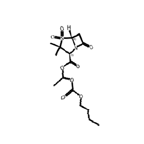 CCCCOC(=O)OC(C)OC(=O)[C@@H]1N2C(=O)C[C@H]2S(=O)(=O)C1(C)C